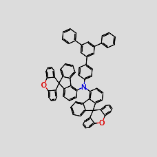 c1ccc(-c2cc(-c3ccccc3)cc(-c3ccc(N(c4cccc5c4-c4ccccc4C54c5ccccc5Oc5ccccc54)c4cccc5c4-c4ccccc4C54c5ccccc5Oc5ccccc54)cc3)c2)cc1